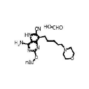 CCCCOc1nc(N)c2[nH]c(C#N)c(CCCCCN3CCOCC3)c2n1.O=CO